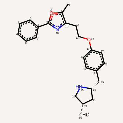 Cc1oc(-c2ccccc2)nc1CCOc1ccc(C[C@@H]2C[C@H](C=O)CN2)cc1